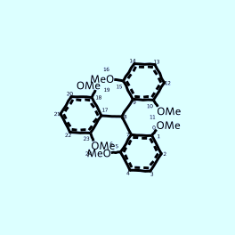 COc1cccc(OC)c1[C](c1c(OC)cccc1OC)c1c(OC)cccc1OC